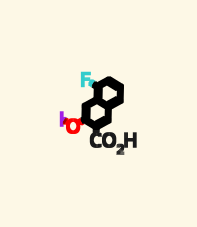 O=C(O)c1cc2cccc(F)c2cc1OI